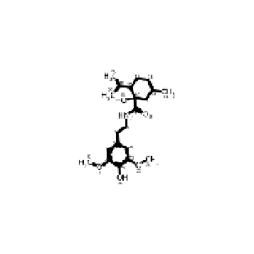 COc1cc(CCNC(=O)[C@@]2(O)CC(C)CCC2C(C)C)cc(OC)c1O